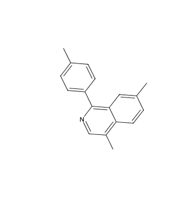 Cc1ccc(-c2ncc(C)c3ccc(C)cc23)cc1